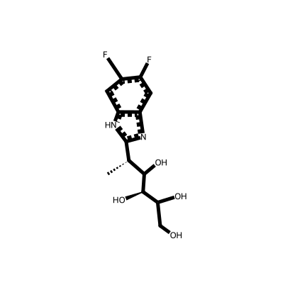 C[C@H](c1nc2cc(F)c(F)cc2[nH]1)C(O)[C@H](O)C(O)CO